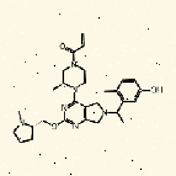 C=CC(=O)N1CCN(c2nc(OC[C@@H]3CCCN3C)nc3c2CN(C(C)c2cc(O)ccc2C)C3)[C@@H](C)C1